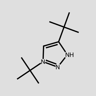 CC(C)(C)c1c[n+](C(C)(C)C)n[nH]1